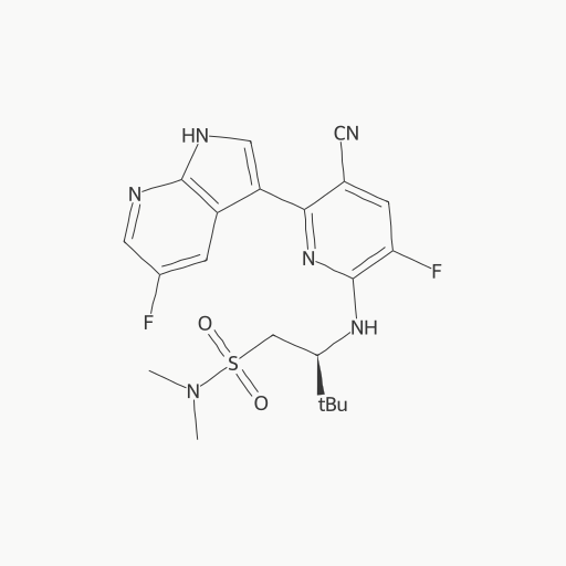 CN(C)S(=O)(=O)C[C@@H](Nc1nc(-c2c[nH]c3ncc(F)cc23)c(C#N)cc1F)C(C)(C)C